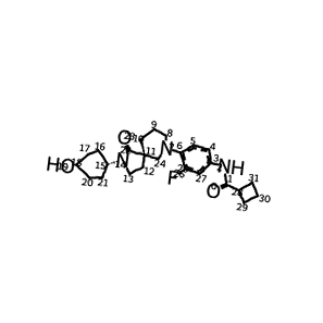 O=C(Nc1ccc(N2CCC[C@]3(CCN([C@H]4CC[C@H](O)CC4)C3=O)C2)c(F)c1)C1CCC1